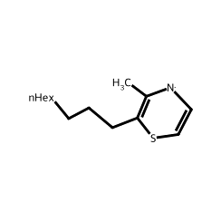 CCCCCCCCCC1=C(C)[N]C=CS1